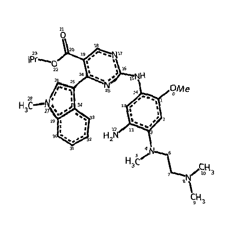 COc1cc(N(C)CCN(C)C)c(N)cc1Nc1ncc(C(=O)OC(C)C)c(-c2cn(C)c3ccccc23)n1